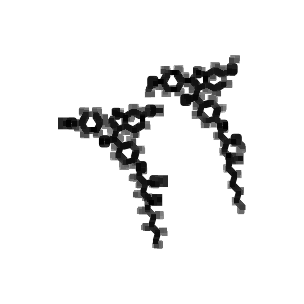 CCCCCCNCC(COc1ccc(C(=O)c2c(-c3ccc(OC)cc3)sc3cc(OC)ccc23)cc1)OC.CCCCCNCC(O)COc1ccc(C(=O)c2c(-c3ccc(O)cc3)sc3cc(O)ccc23)cc1